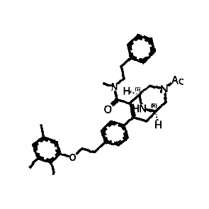 CC(=O)N1C[C@H]2CC(c3ccc(CCOc4cc(C)cc(C)c4C)cc3)=C(C(=O)N(C)CCc3ccccc3)[C@@H](C1)N2